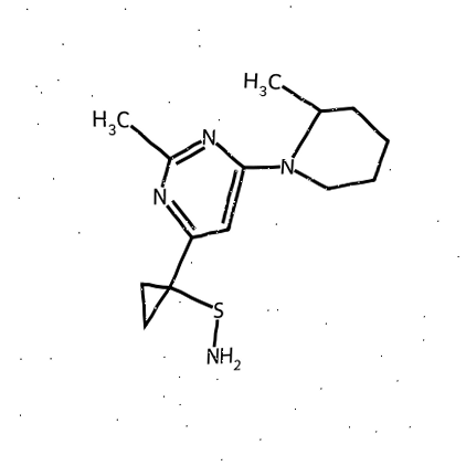 Cc1nc(N2CCCCC2C)cc(C2(SN)CC2)n1